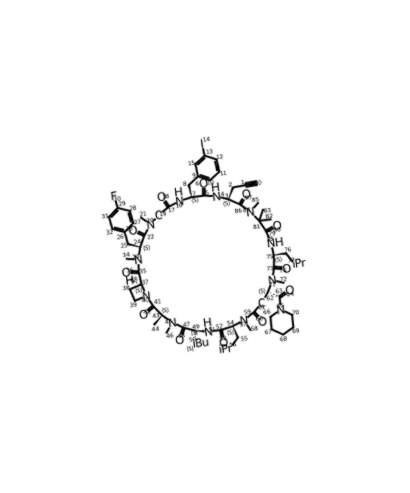 C#CC[C@@H]1NC(=O)[C@H](Cc2cccc(I)c2)NC(=O)CN(C)C(=O)[C@H](Cc2ccc(F)cc2)N(C)C(=O)[C@@H]2CCN2C(=O)[C@H](C)N(C)C(=O)[C@H]([C@@H](C)CC)NC(=O)[C@H](CC(C)C)N(C)C(=O)C[C@@H](C(=O)N2CCCCC2)N(C)C(=O)[C@H](CC(C)C)NC(=O)C(C)(C)N(C)C1=O